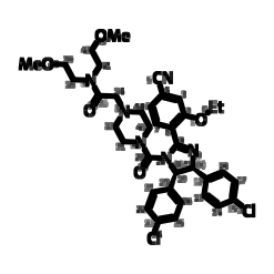 CCOc1cc(C#N)ccc1C1=N[C@@H](c2ccc(Cl)cc2)[C@@H](c2ccc(Cl)cc2)N1C(=O)N1CCN(CC(=O)N(CCOC)CCOC)CC1